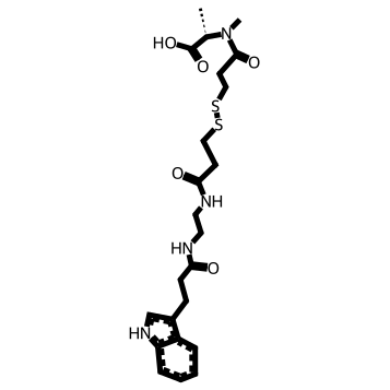 C[C@@H](C(=O)O)N(C)C(=O)CCSSCCC(=O)NCCNC(=O)CCc1c[nH]c2ccccc12